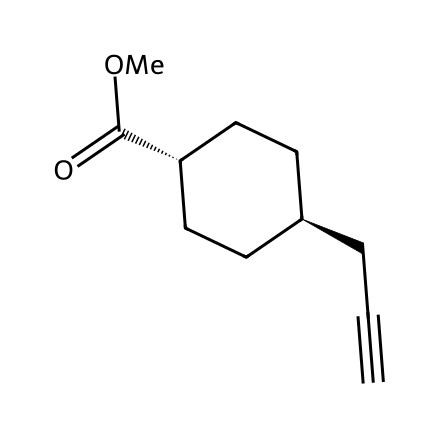 C#CC[C@H]1CC[C@H](C(=O)OC)CC1